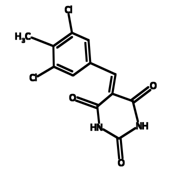 Cc1c(Cl)cc(C=C2C(=O)NC(=O)NC2=O)cc1Cl